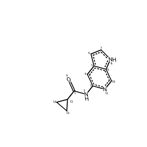 O=C(Nc1cc2cc[nH]c2cn1)C1CC1